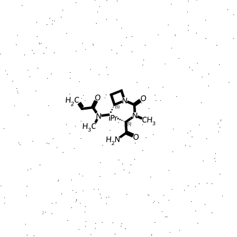 C=CC(=O)N(C)C[C@@H]1CCN1C(=O)N(C)[C@H](C(N)=O)C(C)C